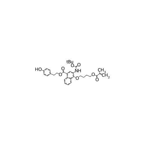 C=C(C)C(=O)OCCCCOc1c(NC(=O)OC(C)(C)C)cc(C(=O)OCCc2ccc(O)cc2)c2ccccc12